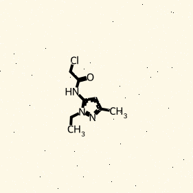 CCn1nc(C)cc1NC(=O)CCl